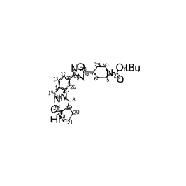 CC(C)(C)OC(=O)N1CCC(c2nc(-c3ccc4cnn(CC5CCNC5=O)c4c3)no2)CC1